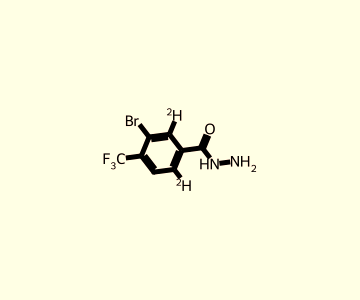 [2H]c1cc(C(F)(F)F)c(Br)c([2H])c1C(=O)NN